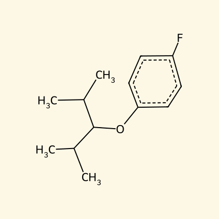 CC(C)C(Oc1ccc(F)cc1)C(C)C